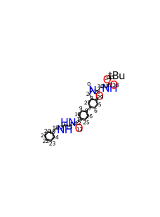 CN(Cc1cccc(-c2ccc(C(=O)NCCNCc3ccccc3)cc2)c1)C(=O)CNC(=O)OC(C)(C)C